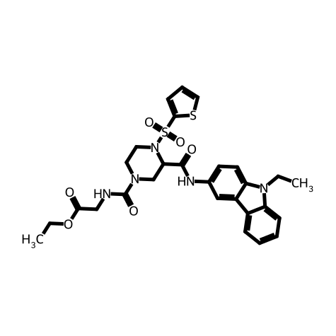 CCOC(=O)CNC(=O)N1CCN(S(=O)(=O)c2cccs2)C(C(=O)Nc2ccc3c(c2)c2ccccc2n3CC)C1